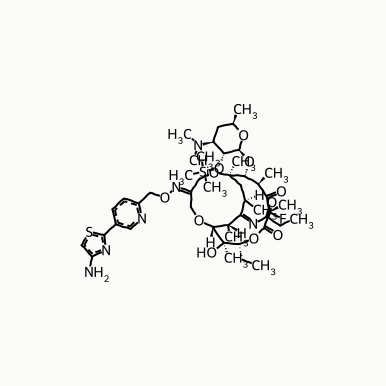 CCC(=O)/N=C1\[C@H](C)C[C@@]2(C)OC/C(=N/OCc3ccc(-c4nc(N)cs4)cn3)CO[C@H]([C@H]1C)[C@](C)(O)[C@@H](CC)OC(=O)[C@@](C)(F)C(=O)[C@H](C)[C@H]2O[C@@H]1O[C@H](C)C[C@H](N(C)C)[C@H]1O[Si](C)(C)C